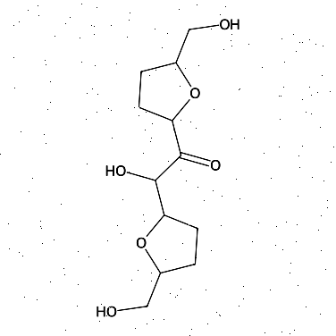 O=C(C1CCC(CO)O1)C(O)C1CCC(CO)O1